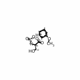 COc1ccccc1.O=C(O)[C@@H](CO)N=S(=O)=O